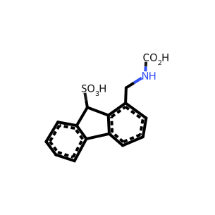 O=C(O)NCc1cccc2c1C(S(=O)(=O)O)c1ccccc1-2